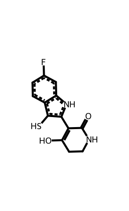 O=C1NCCC(O)=C1c1[nH]c2cc(F)ccc2c1S